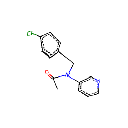 CC(=O)N(Cc1ccc(Cl)cc1)c1cccnc1